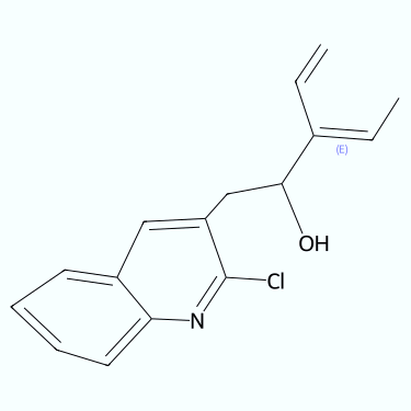 C=C/C(=C\C)C(O)Cc1cc2ccccc2nc1Cl